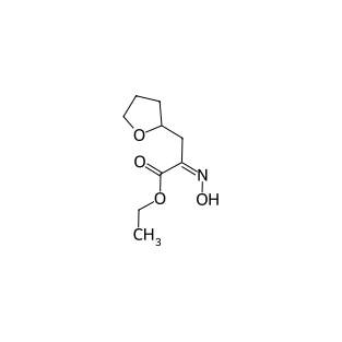 CCOC(=O)/C(CC1CCCO1)=N\O